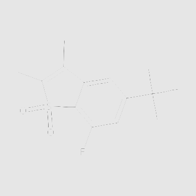 CC1=C(C)S(=O)(=O)c2c(F)cc(C(C)(C)C)cc21